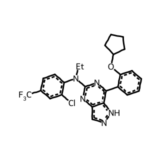 CCN(c1nc(-c2ccccc2OC2CCCC2)c2[nH]ncc2n1)c1ccc(C(F)(F)F)cc1Cl